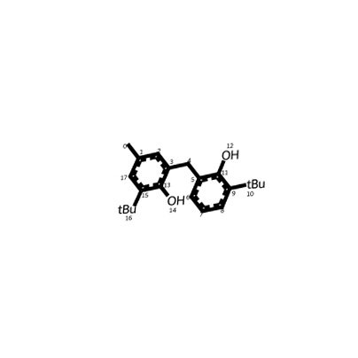 Cc1cc(Cc2cccc(C(C)(C)C)c2O)c(O)c(C(C)(C)C)c1